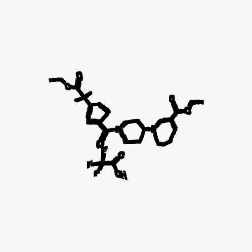 CCOC(=O)C1CCCN(C2CCN(C(=O)c3ccc(C(C)(C)C(=O)OCC)cc3)CC2)C1.O=C(O)C(F)(F)F